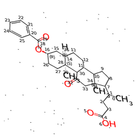 CC(CCC(=O)O)C1CCC2C3CC[C@@H]4C[C@H](OC(=O)c5ccccc5)CC[C@]4(C)C3C(=O)C[C@]12C